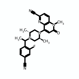 CC(c1ccc(C#N)cc1F)N1C[C@H](C)N(c2cc(=O)n(C)c3ccc(C#N)nc23)C[C@H]1C